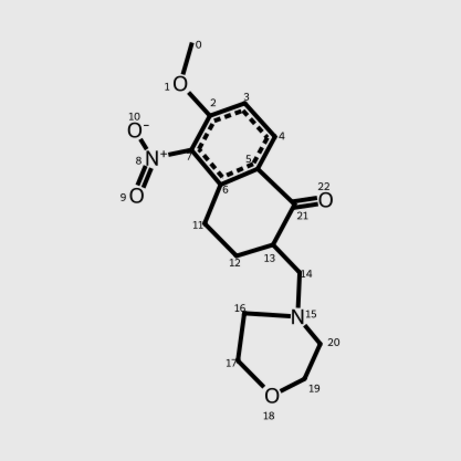 COc1ccc2c(c1[N+](=O)[O-])CCC(CN1CCOCC1)C2=O